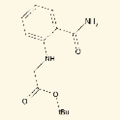 CC(C)(C)OC(=O)CNc1ccccc1C(N)=O